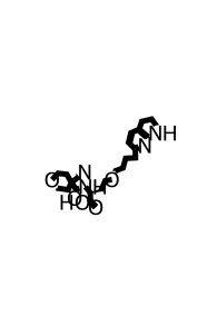 N#CC1(C(=O)N[C@@H](CCOCCCCc2ccc3c(n2)NCCC3)C(=O)O)CCOCC1